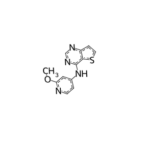 COc1cc(Nc2ncnc3ccsc23)ccn1